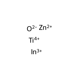 [In+3].[O-2].[Ti+4].[Zn+2]